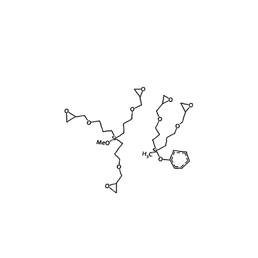 CO[Si](CCCOCC1CO1)(CCCOCC1CO1)CCCOCC1CO1.C[Si](CCCOCC1CO1)(CCCOCC1CO1)Oc1ccccc1